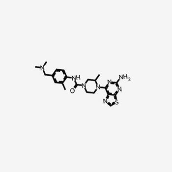 Cc1cc(CN(C)C)ccc1NC(=O)N1CCN(c2nc(N)nc3scnc23)C(C)C1